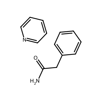 NC(=O)Cc1ccccc1.c1ccncc1